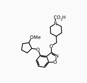 COC1CCCC1Oc1cccc2onc(OCC3CCN(C(=O)O)CC3)c12